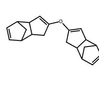 C1=CC2CC1C1C=C(OC3=CC4C5C=CC(C5)C4C3)CC21